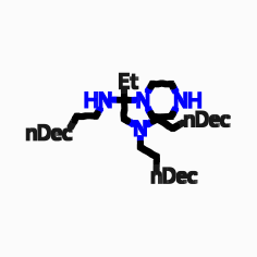 CCCCCCCCCCCCNC(CC)(CN(CCCCCCCCCCCC)CCCCCCCCCCCC)N1CCNCC1